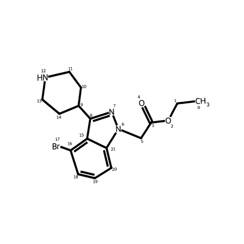 CCOC(=O)Cn1nc(C2CCNCC2)c2c(Br)cccc21